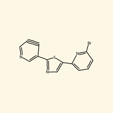 Brc1cccc(-c2cnc(-c3c#ccnc3)s2)n1